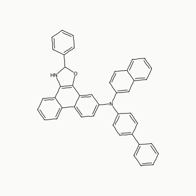 c1ccc(-c2ccc(N(c3ccc4ccccc4c3)c3ccc4c(c3)c3c(c5ccccc54)NC(c4ccccc4)O3)cc2)cc1